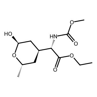 CCOC(=O)[C@@H](NC(=O)OC)[C@H]1C[C@H](C)O[C@@H](O)C1